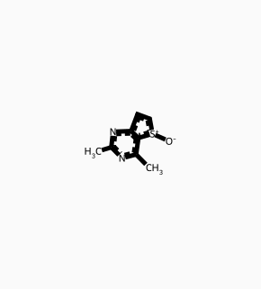 Cc1nc(C)c2c(cc[s+]2[O-])n1